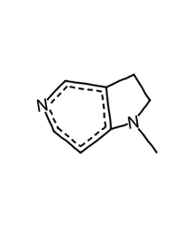 CN1CCc2cnccc21